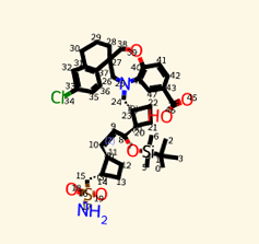 CC(C)(C)[Si](C)(C)OC(/C=C\[C@H]1CC[C@@H]1CS(N)(=O)=O)[C@@H]1CC[C@H]1CN1CC2(CCCc3cc(Cl)ccc32)COc2ccc(C(=O)O)cc21